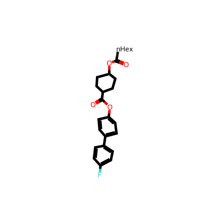 CCCCCCC(=O)OC1CCC(C(=O)Oc2ccc(-c3ccc(F)cc3)cc2)CC1